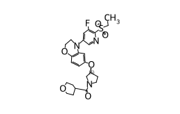 CCS(=O)(=O)c1ncc(N2CCOc3ccc(O[C@H]4CCN(C(=O)C5CCOCC5)C4)cc32)cc1F